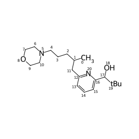 CC(CCCN1CCOCC1)Cc1cccc(C(O)C(C)(C)C)n1